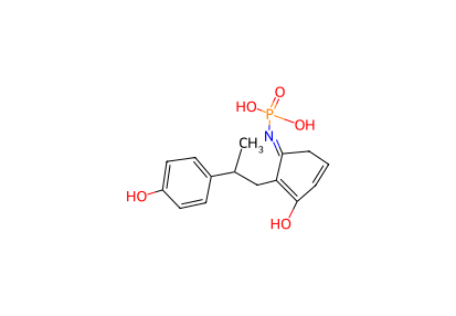 CC(CC1=C(O)C=CCC1=NP(=O)(O)O)c1ccc(O)cc1